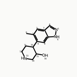 Cc1cc2cn[nH]c2cc1C1CCNCC1O